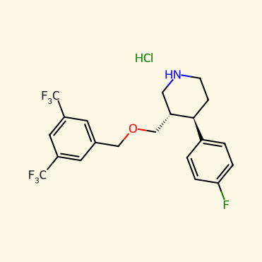 Cl.Fc1ccc([C@@H]2CCNC[C@H]2COCc2cc(C(F)(F)F)cc(C(F)(F)F)c2)cc1